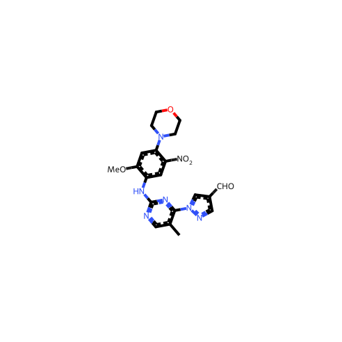 COc1cc(N2CCOCC2)c([N+](=O)[O-])cc1Nc1ncc(C)c(-n2cc(C=O)cn2)n1